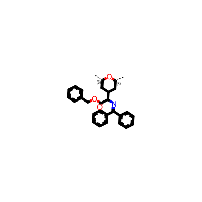 C[C@@H]1CC(C(N=C(c2ccccc2)c2ccccc2)C(=O)OCc2ccccc2)C[C@H](C)O1